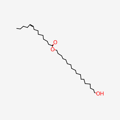 CCCC/C=C\CCCCCCCC(=O)OCCCCCCCCCCCCCCCCCCO